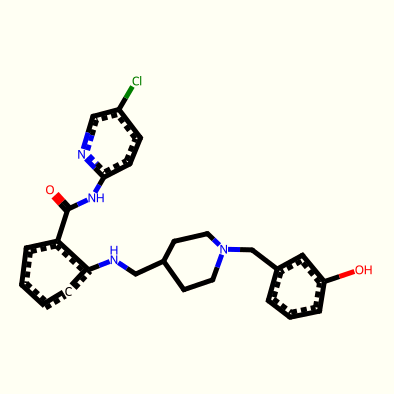 O=C(Nc1ccc(Cl)cn1)c1ccccc1NCC1CCN(Cc2cccc(O)c2)CC1